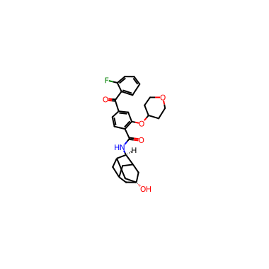 O=C(c1ccc(C(=O)N[C@H]2C3CC4CC2C[C@](O)(C4)C3)c(OC2CCOCC2)c1)c1ccccc1F